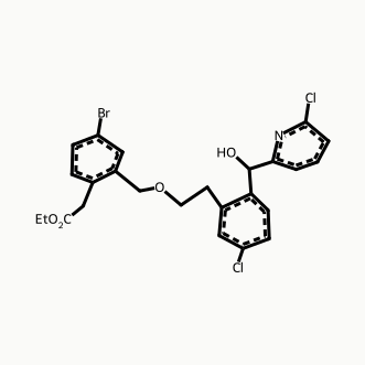 CCOC(=O)Cc1ccc(Br)cc1COCCc1cc(Cl)ccc1C(O)c1cccc(Cl)n1